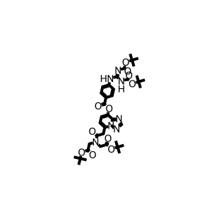 CC(C)(C)OC(=O)CN(CC(=O)OC(C)(C)C)C(=O)Cc1ccc(OC(=O)c2ccc(N/C(=N/C(=O)OC(C)(C)C)NC(=O)OC(C)(C)C)cc2)c2ncnn12